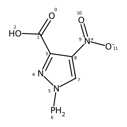 O=C(O)c1nn(P)cc1[N+](=O)[O-]